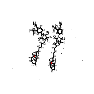 CC1(C)C(=O)N(c2ccc(C#N)c(C(F)(F)F)c2)C(=S)N1CCCCCCCCCN1C2CCC1CC(O)C2.CC1(C)C(=O)N(c2ccc(C#N)c(C(F)(F)F)c2)C(=S)N1CCCCCCCCN1C2CCC1CC(O)C2